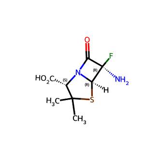 CC1(C)S[C@H]2N(C(=O)[C@@]2(N)F)[C@H]1C(=O)O